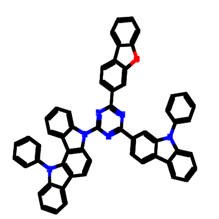 c1ccc(-n2c3ccccc3c3ccc(-c4nc(-c5ccc6c(c5)oc5ccccc56)nc(-n5c6ccccc6c6c5ccc5c7ccccc7n(-c7ccccc7)c56)n4)cc32)cc1